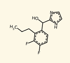 CCCc1c(C(O)c2ncc[nH]2)ccc(F)c1F